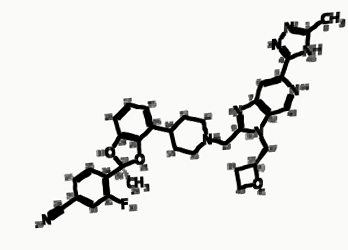 Cc1nnc(-c2cc3nc(CN4CCC(c5cccc6c5O[C@@](C)(c5ccc(C#N)cc5F)O6)CC4)n(C[C@@H]4CCO4)c3cn2)[nH]1